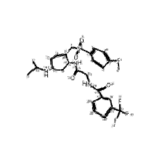 CSc1ccc(S(=O)(=O)C[C@@H]2CC[C@@H](NC(C)C)C[C@@H]2NC(=O)CNC(=O)c2cccc(C(F)(F)F)c2)cc1